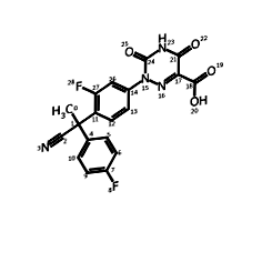 CC(C#N)(c1ccc(F)cc1)c1ccc(-n2nc(C(=O)O)c(=O)[nH]c2=O)cc1F